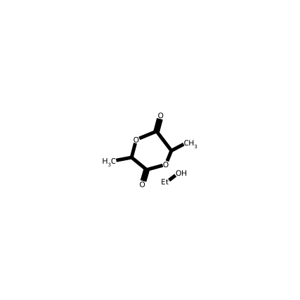 CC1OC(=O)C(C)OC1=O.CCO